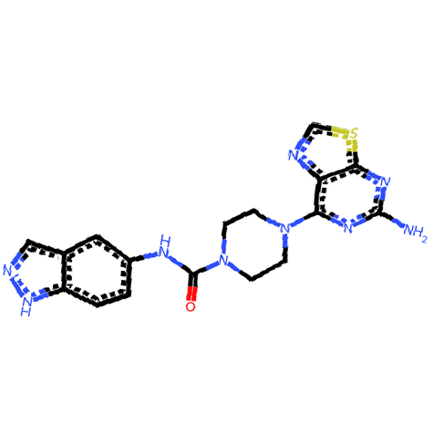 Nc1nc(N2CCN(C(=O)Nc3ccc4[nH]ncc4c3)CC2)c2ncsc2n1